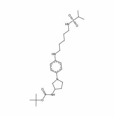 CC(C)S(=O)(=O)NCCCCCNc1ccc(N2CCC(NC(=O)OC(C)(C)C)C2)cc1